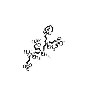 C[N+](C)(CCCS(=O)(=O)[O-])CC[N+](C)(CCCS(=O)(=O)[O-])CC[N+](C)(CCC[Si]12OCCN(CCO1)CCO2)CCCS(=O)(=O)[O-]